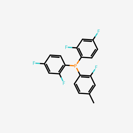 Cc1ccc(P(c2ccc(F)cc2F)c2ccc(F)cc2F)c(F)c1